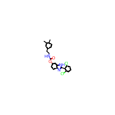 Cc1ccc(CCNC(=O)Oc2ccc3nc(-c4c(Cl)cccc4Cl)[nH]c3c2)cc1C